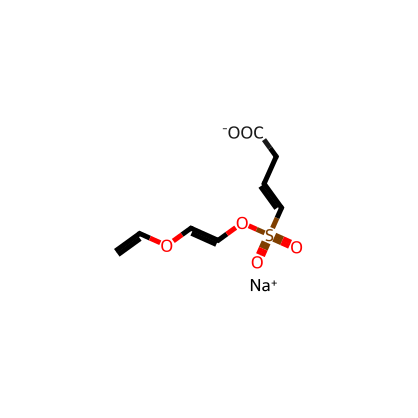 C=COC=COS(=O)(=O)C=CCC(=O)[O-].[Na+]